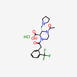 CC(=O)N1CCN(C(=O)Cc2ccccc2C(F)(F)F)[C@@H](C(=O)O)[C@@H]1CN1CCCC1.Cl